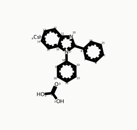 O=C(O)O.[CsH].c1ccc(-c2nc3ccccc3n2-c2ccccc2)cc1